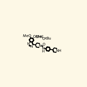 CC(C)(C)OC=O.COc1cc2ncnc(C3CCN(C(=O)Nc4ccc(C5=CCNCC5)cc4)CC3)c2cc1OC